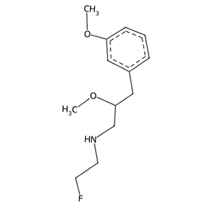 COc1cccc(CC(CNCCF)OC)c1